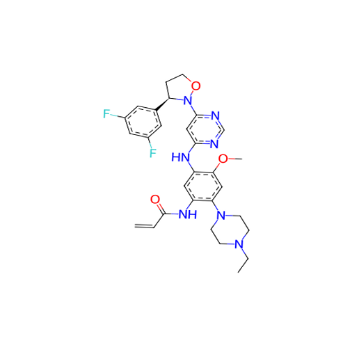 C=CC(=O)Nc1cc(Nc2cc(N3OCC[C@@H]3c3cc(F)cc(F)c3)ncn2)c(OC)cc1N1CCN(CC)CC1